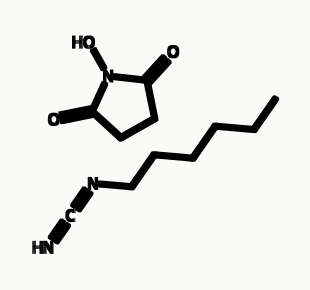 CCCCCCN=C=N.O=C1CCC(=O)N1O